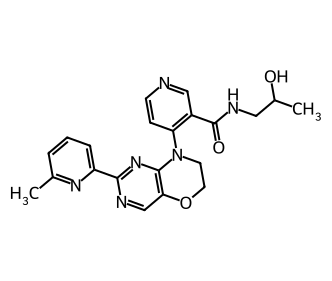 Cc1cccc(-c2ncc3c(n2)N(c2ccncc2C(=O)NCC(C)O)CCO3)n1